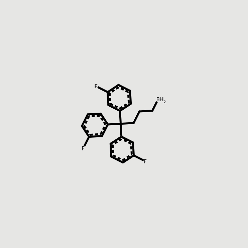 BCCCC(c1cccc(F)c1)(c1cccc(F)c1)c1cccc(F)c1